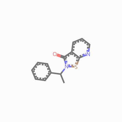 CC(c1ccccc1)n1sc2ncccc2c1=O